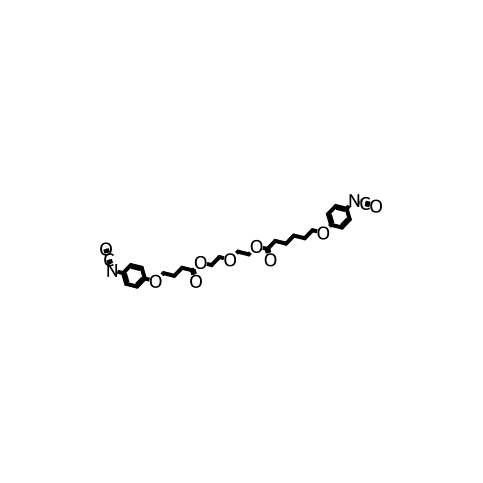 O=C=Nc1ccc(OCCCCCC(=O)OCCOCCOC(=O)CCCOc2ccc(N=C=O)cc2)cc1